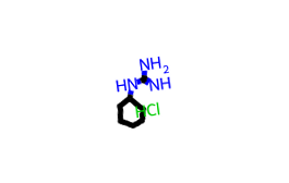 Cl.N=C(N)NC1CCCCC1